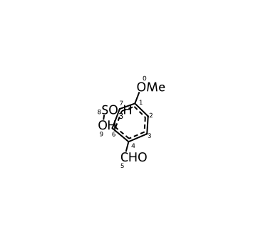 COc1ccc(C=O)cc1.O=S(=O)(O)O